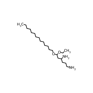 CCCCCCCCCCCCCCOC(CC(N)CCCN)OCC